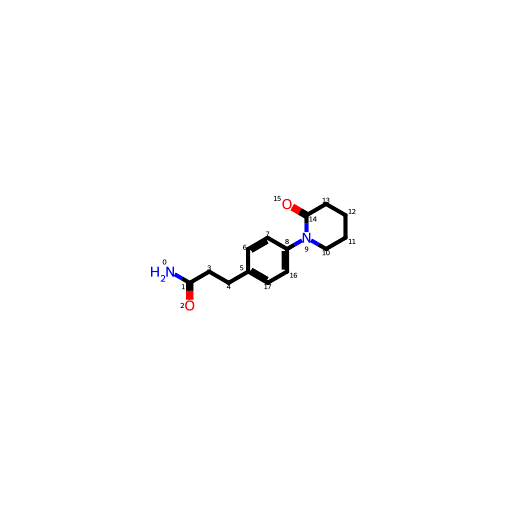 NC(=O)CCc1ccc(N2CCCCC2=O)cc1